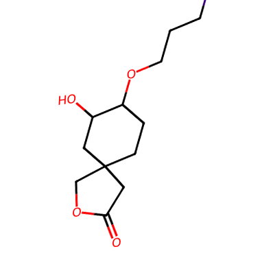 O=C1CC2(CCC(OCCCI)C(O)C2)CO1